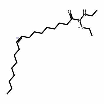 CCCCCCCC/C=C\CCCCCCCC(=O)N(NCC)NCC